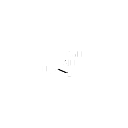 [AlH3].[CaH2].[Li][SiH3]